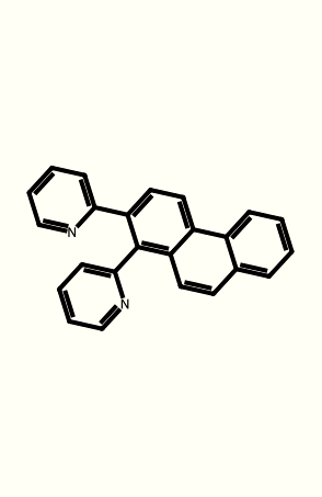 c1ccc(-c2ccc3c(ccc4ccccc43)c2-c2ccccn2)nc1